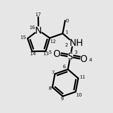 CC(NS(=O)(=O)c1ccccc1)c1cccn1C